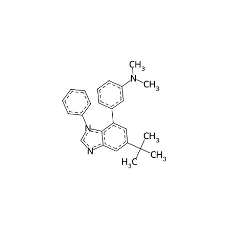 CN(C)c1cccc(-c2cc(C(C)(C)C)cc3ncn(-c4ccccc4)c23)c1